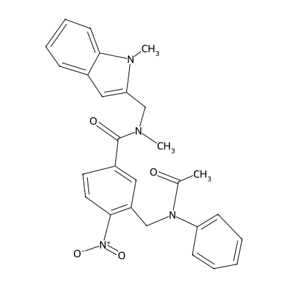 CC(=O)N(Cc1cc(C(=O)N(C)Cc2cc3ccccc3n2C)ccc1[N+](=O)[O-])c1ccccc1